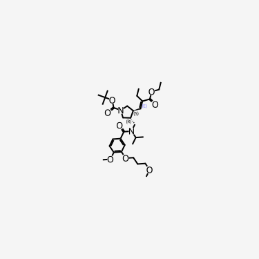 CCOC(=O)/C(=C/[C@@H]1CN(C(=O)OC(C)(C)C)C[C@H]1CN(C(=O)c1ccc(OC)c(OCCCOC)c1)C(C)C)CC